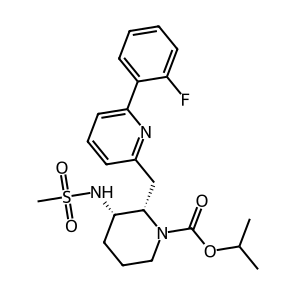 CC(C)OC(=O)N1CCC[C@H](NS(C)(=O)=O)[C@@H]1Cc1cccc(-c2ccccc2F)n1